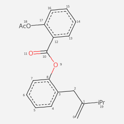 C=C(Cc1ccccc1OC(=O)c1ccccc1OC(C)=O)C(C)C